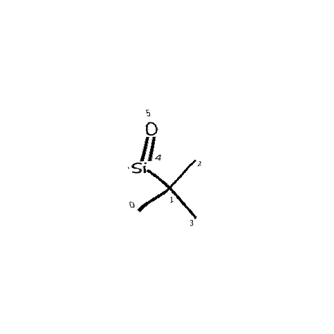 CC(C)(C)[Si]=O